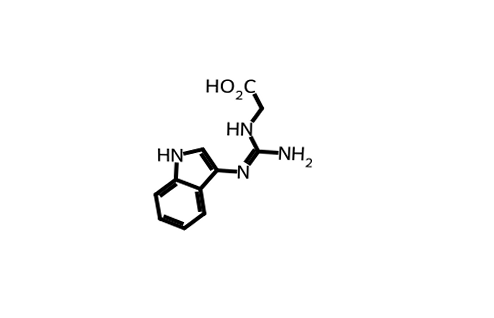 NC(=Nc1c[nH]c2ccccc12)NCC(=O)O